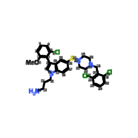 COc1cccc(Cl)c1-c1cn(CCCN)c2ccc(SN3CCN(Cc4c(Cl)cccc4Cl)CC3)cc12